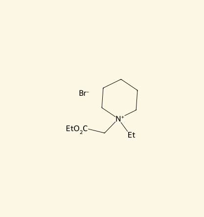 CCOC(=O)C[N+]1(CC)CCCCC1.[Br-]